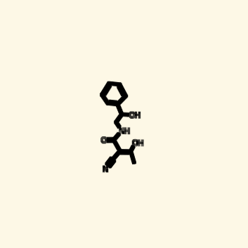 CC(O)=C(C#N)C(=O)NCC(O)c1ccccc1